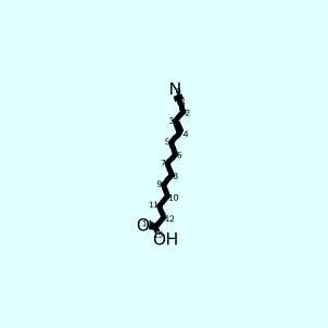 N#CCC=CCCCCCCCCC(=O)O